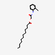 CCCCCCCCCCCC(=O)OCC(=O)Nc1ccccc1CC